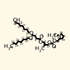 [CH2]C(COC(=O)CCC(OCCCCCCCC)OCCCCCCCC)COC(=O)OCC1CCCN1C